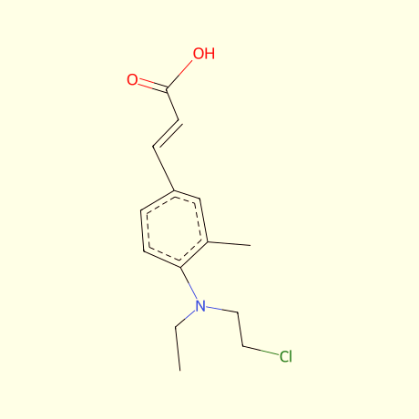 CCN(CCCl)c1ccc(C=CC(=O)O)cc1C